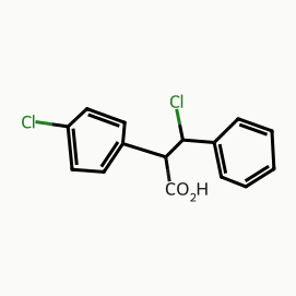 O=C(O)C(c1ccc(Cl)cc1)C(Cl)c1ccccc1